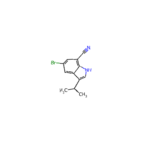 CC(C)c1c[nH]c2c(C#N)cc(Br)cc12